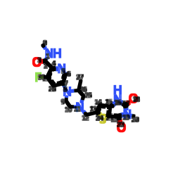 CNC(=O)c1ncc(N2CCN(Cc3cc4[nH]c(=O)n(C)c(=O)c4s3)CC2C)cc1F